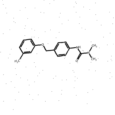 Cc1cccc(OCc2ccc(NC(=O)N(C)C)cc2)c1